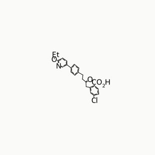 CCOc1ccc(-c2ccc(CCC(=O)Cc3cc(Cl)ccc3C(=O)O)cc2)cn1